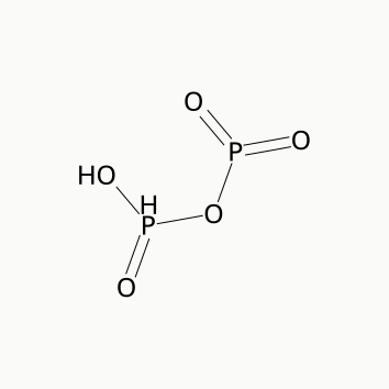 O=P(=O)O[PH](=O)O